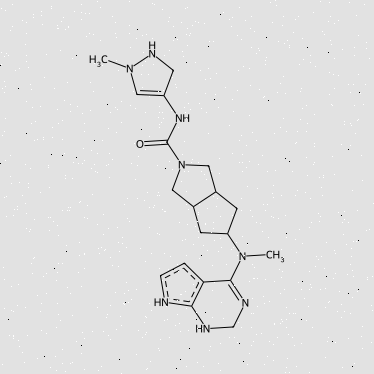 CN1C=C(NC(=O)N2CC3CC(N(C)C4=NCNc5[nH]ccc54)CC3C2)CN1